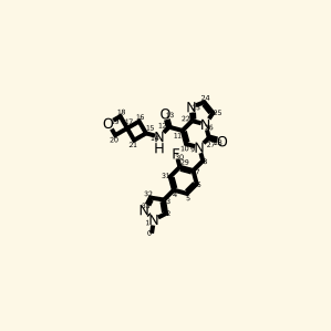 Cn1cc(-c2ccc(Cn3cc(C(=O)NC4CC5(COC5)C4)c4nccn4c3=O)c(F)c2)cn1